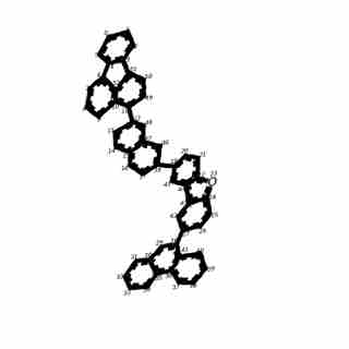 c1ccc2c(c1)-c1cccc3c(-c4ccc5ccc(-c6ccc7oc8ccc(-c9cc%10ccccc%10c%10ccccc9%10)cc8c7c6)cc5c4)ccc-2c13